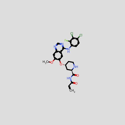 C=CC(=O)NC(=O)[C@H]1C[C@H](Oc2cc3c(Nc4ccc(Cl)c(Cl)c4F)ncnc3cc2OC)CCN1